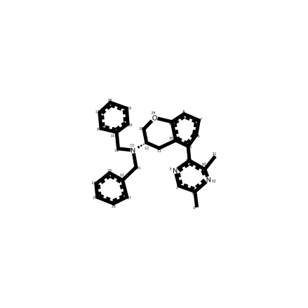 Cc1cnc(-c2cccc3c2C[C@H](N(Cc2ccccc2)Cc2ccccc2)CO3)c(C)n1